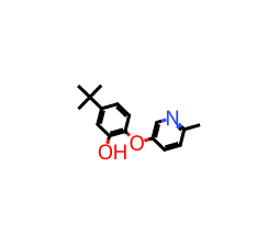 Cc1ccc(Oc2ccc(C(C)(C)C)cc2O)cn1